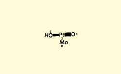 [Mo].[O]=[Pt][OH]